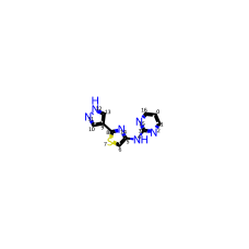 c1cnc(Nc2csc(-c3cn[nH]c3)n2)nc1